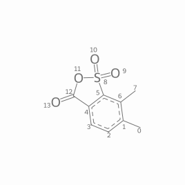 Cc1ccc2c(c1C)S(=O)(=O)OC2=O